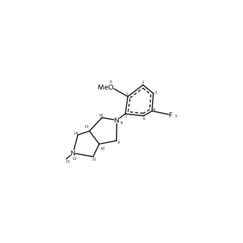 COc1ccc(F)cc1N1CC2CN(C)CC2C1